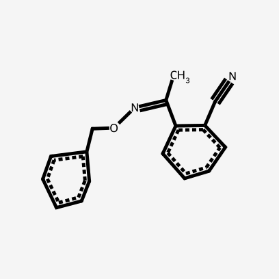 CC(=NOCc1ccccc1)c1ccccc1C#N